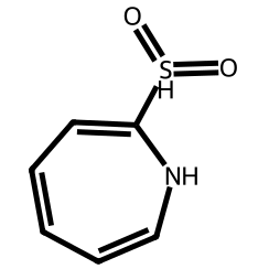 O=[SH](=O)C1=CC=CC=CN1